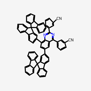 N#Cc1cccc(-c2nc(-c3cccc(C#N)c3)c3cc(-c4ccc5c(c4)C4(c6ccccc6-c6ccccc64)c4ccccc4-5)cc(-c4ccc5c(c4)C4(c6ccccc6-c6ccccc64)c4ccccc4-5)c3n2)c1